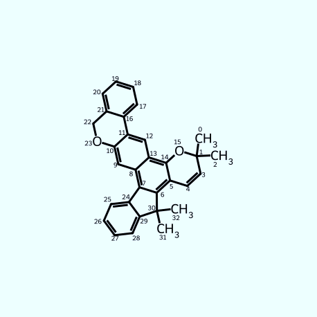 CC1(C)C=Cc2c3c(c4cc5c(cc4c2O1)-c1ccccc1CO5)-c1ccccc1C3(C)C